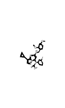 COc1ccc(CNc2cc(N(C(=O)O)c3cccc(F)c3)n3ncc(C4CC4)c3n2)c(OC)c1